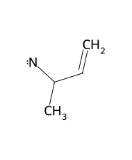 C=CC(C)[N]